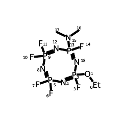 CCOP1(F)=NP(F)(F)=NP(F)(F)=NP(F)(N(C)C)=N1